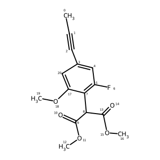 CC#Cc1cc(F)c(C(C(=O)OC)C(=O)OC)c(OC)c1